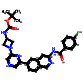 CC(C)(C)OC(=O)NC1CN(c2cncc(-c3ccc4cnc(NC(=O)c5ccc(F)cc5)cc4c3)n2)C1